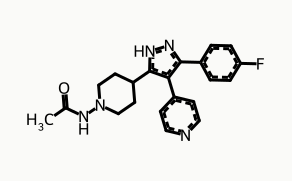 CC(=O)NN1CCC(c2[nH]nc(-c3ccc(F)cc3)c2-c2ccncc2)CC1